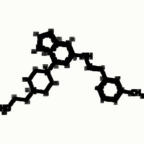 Cc1cccc(C=NNc2cc(N3CCN(CCO)CC3)n3nccc3n2)c1